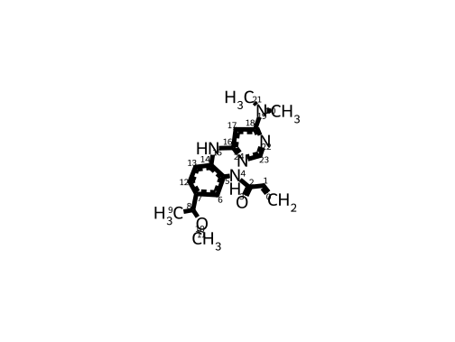 C=CC(=O)Nc1cc(C(C)OC)ccc1Nc1cc(N(C)C)ncn1